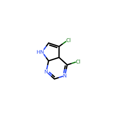 ClC1=CNC2N=CN=C(Cl)C12